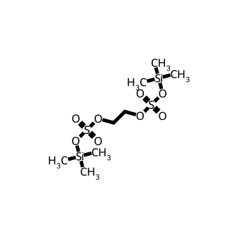 C[Si](C)(C)OS(=O)(=O)OCCOS(=O)(=O)O[Si](C)(C)C